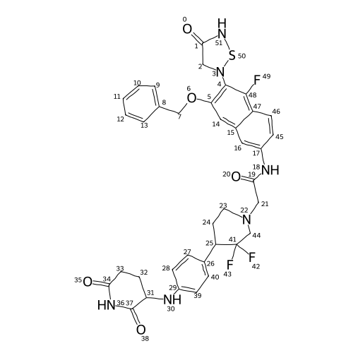 O=C1CN(c2c(OCc3ccccc3)cc3cc(NC(=O)CN4CCC(c5ccc(NC6CCC(=O)NC6=O)cc5)C(F)(F)C4)ccc3c2F)SN1